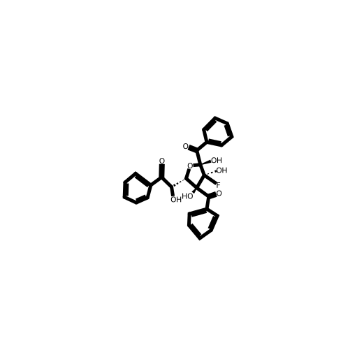 O=C(c1ccccc1)C(O)[C@@H]1O[C@](O)(C(=O)c2ccccc2)[C@@](O)(F)[C@]1(O)C(=O)c1ccccc1